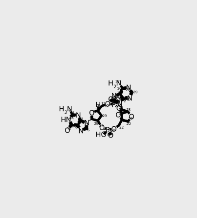 Nc1nc2c(ncn2[C@@H]2O[C@@H]3COP(=O)(O)OC4C5OCC4(COP(=O)(O)OC2C3)O[C@H]5n2cnc3c(N)ncnc32)c(=O)[nH]1